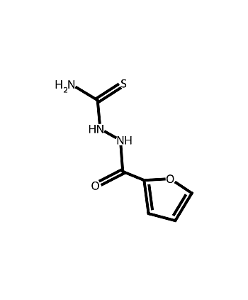 NC(=S)NNC(=O)c1ccco1